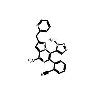 Cn1nncc1-c1c(-c2ccccc2C#N)nc(N)c2cc(Cc3ccccn3)nn12